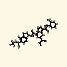 COC(=O)c1cc(C(=O)NC2CCc3c2ccc(C(=O)OC(C)(C)C)c3C)n2ncc(C(=O)Nc3ccccc3Cl)c2n1